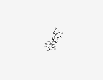 CCC(CC)(CC)OC(=O)C1(C)CC2CC1C(C)C2C